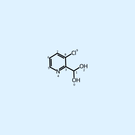 OC(O)c1ncccc1Cl